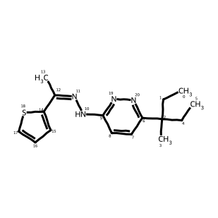 CCC(C)(CC)c1ccc(NN=C(C)c2cccs2)nn1